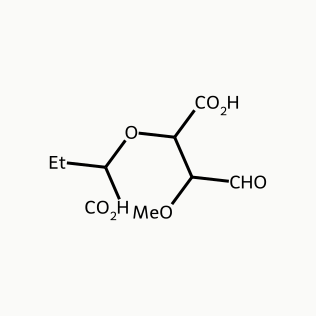 CCC(OC(C(=O)O)C(C=O)OC)C(=O)O